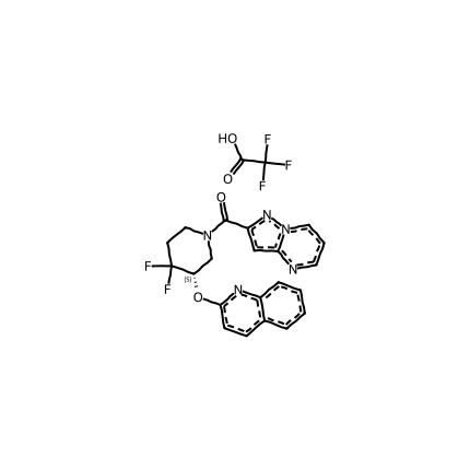 O=C(O)C(F)(F)F.O=C(c1cc2ncccn2n1)N1CCC(F)(F)[C@@H](Oc2ccc3ccccc3n2)C1